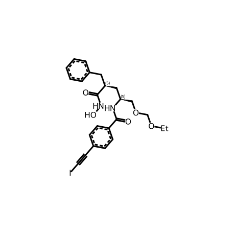 CCOCOC[C@H](C[C@H](Cc1ccccc1)C(=O)NO)NC(=O)c1ccc(C#CI)cc1